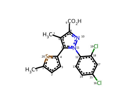 Cc1ccc(-c2c(C)c(C(=O)O)nn2-c2ccc(Cl)cc2Cl)s1